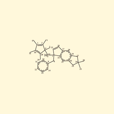 CC1=C(C)[C](C)([Hf][C]2(Cc3ccccc3)C=Cc3cc4c(cc32)CC(C)(C)C4)C(C)=C1C